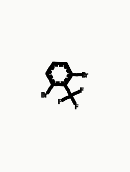 FC(F)(F)c1c(Br)cccc1Br